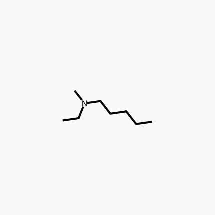 CCCCCN(C)CC